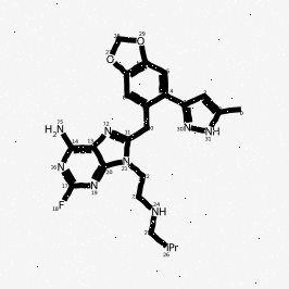 Cc1cc(-c2cc3c(cc2Cc2nc4c(N)nc(F)nc4n2CCNCC(C)C)OCO3)n[nH]1